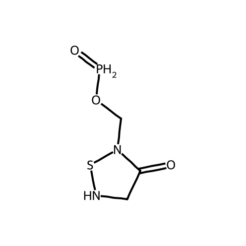 O=[PH2]OCN1SNCC1=O